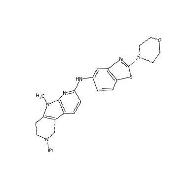 CC(C)N1CCc2c(c3ccc(Nc4ccc5sc(N6CCOCC6)nc5c4)nc3n2C)C1